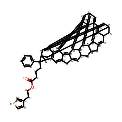 O=C(CCCC1(c2ccccc2)C2c3cc4c5c6c7c8c9c%10c%11c%12c%13c%14c(c%15c3c5c8c%15c%13%10)C21CC%14CC%12C=C1CC2CC(C=C6C4)C7C=9C2C=%111)OCCc1ccsc1